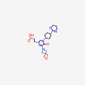 O=C(O)/C=C/c1cn(-c2ccc(-c3ncccn3)cc2)c(=O)c(N2CC3(COC3)C2)n1